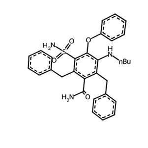 CCCCNc1c(Cc2ccccc2)c(C(N)=O)c(Cc2ccccc2)c(S(N)(=O)=O)c1Oc1ccccc1